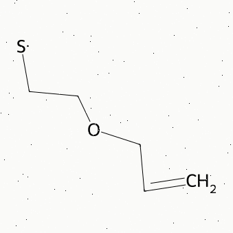 C=CCOCC[S]